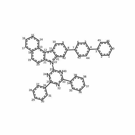 c1ccc(-c2ccc(-c3ccc4c5c6ccccc6ccc5n(-c5nc(-c6ccccc6)nc(-c6ccccc6)n5)c4c3)cc2)cc1